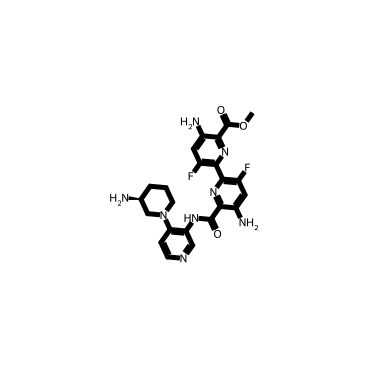 COC(=O)c1nc(-c2nc(C(=O)Nc3cnccc3N3CCC[C@H](N)C3)c(N)cc2F)c(F)cc1N